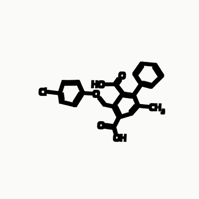 Cc1cc(C(=O)O)c(COc2ccc(Cl)cc2)c(C(=O)O)c1-c1ccccc1